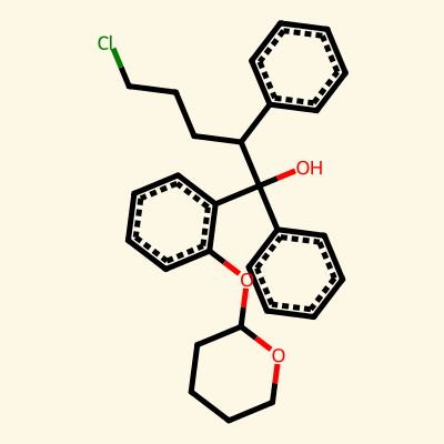 OC(c1ccccc1)(c1ccccc1OC1CCCCO1)C(CCCCl)c1ccccc1